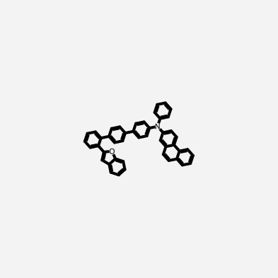 c1ccc(N(c2ccc(-c3ccc(-c4ccccc4-c4cc5ccccc5o4)cc3)cc2)c2ccc3c(ccc4ccccc43)c2)cc1